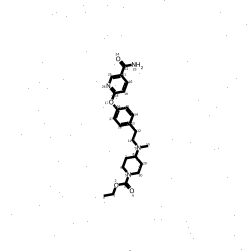 CCOC(=O)N1CCC(N(C)CCc2ccc(Oc3ccc(C(N)=O)cn3)cc2)CC1